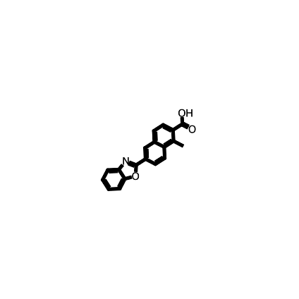 Cc1c(C(=O)O)ccc2cc(-c3nc4ccccc4o3)ccc12